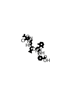 Cc1cccc(C)c1-c1cc(OCC(CC2(C)CC2)NCc2cnc3oc(C(C)C)c(Cl)c3n2)nc(NSc2cccc(C(=O)O)c2)n1